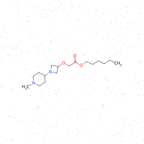 CCCCCCOC(=O)COC1CN(C2CCN(C)CC2)C1